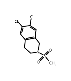 CS(=O)(=O)N1CCc2cc(Cl)c(Cl)cc2C1